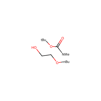 CCCCOCCO.CNC(=O)OC(C)(C)C